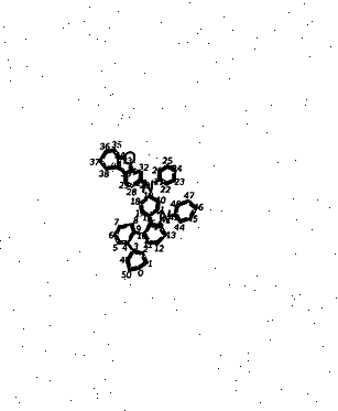 c1ccc(-c2ccccc2-c2cccc3c2c2ccc(N(c4ccccc4)c4ccc5c(c4)oc4ccccc45)cc2n3-c2ccccc2)cc1